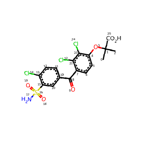 CC(C)(Oc1ccc(C(=O)c2ccc(Cl)c(S(N)(=O)=O)c2)c(Cl)c1Cl)C(=O)O